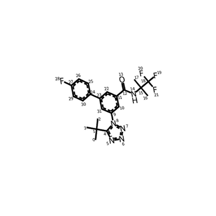 CC(C)(C)c1nnnn1-c1cc(C(=O)NC(C)(C)C(F)(F)F)cc(-c2ccc(F)cc2)c1